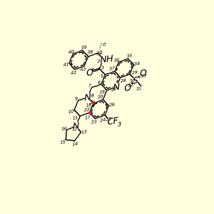 C[C@H](NC(=O)c1c(CN2CCC(N3CCCC3)CC2)c(-c2cccc(C(F)(F)F)c2)nc2c(S(C)(=O)=O)cccc12)c1ccccc1